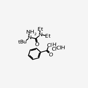 CCN(CC)C(=O)N(N)C(C)(C)C.Cl.Cl.O=C(Cl)c1ccccc1